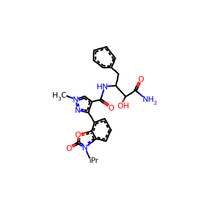 CC(C)n1c(=O)oc2c(-c3nn(C)cc3C(=O)NC(Cc3ccccc3)C(O)C(N)=O)cccc21